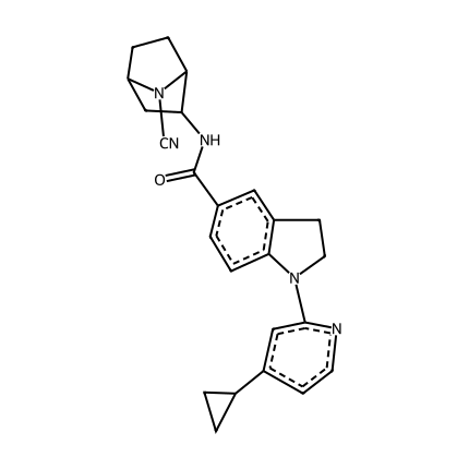 N#CN1C2CCC1C(NC(=O)c1ccc3c(c1)CCN3c1cc(C3CC3)ccn1)C2